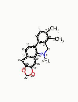 CCN1Cc2c(ccc(C)c2C)-c2ccc3cc4c(cc3c21)OCO4